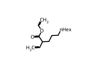 C=COC(=O)C(C=C)CCCCCCCCC